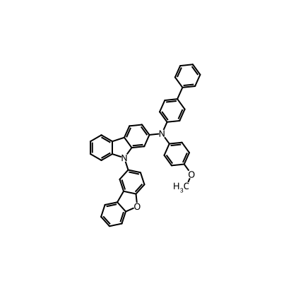 COc1ccc(N(c2ccc(-c3ccccc3)cc2)c2ccc3c4ccccc4n(-c4ccc5oc6ccccc6c5c4)c3c2)cc1